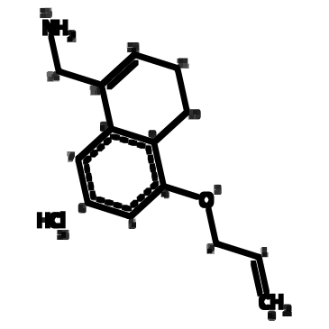 C=CCOc1cccc2c1CCC=C2CN.Cl